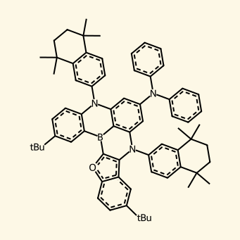 CC(C)(C)c1ccc2c(c1)B1c3oc4ccc(C(C)(C)C)cc4c3N(c3ccc4c(c3)C(C)(C)CCC4(C)C)c3cc(N(c4ccccc4)c4ccccc4)cc(c31)N2c1ccc2c(c1)C(C)(C)CCC2(C)C